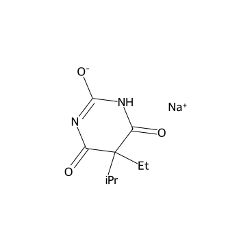 CCC1(C(C)C)C(=O)N=C([O-])NC1=O.[Na+]